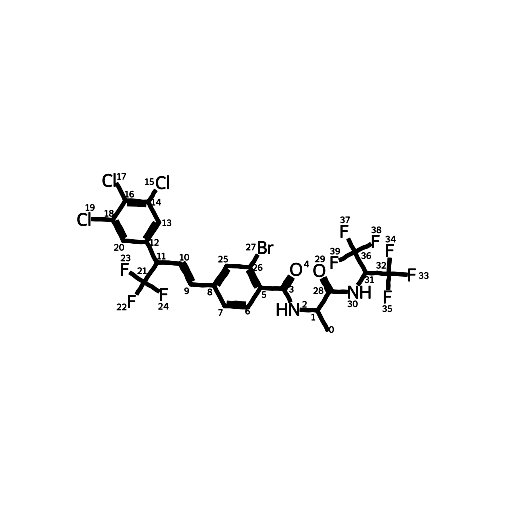 CC(NC(=O)c1ccc(/C=C/C(c2cc(Cl)c(Cl)c(Cl)c2)C(F)(F)F)cc1Br)C(=O)NC(C(F)(F)F)C(F)(F)F